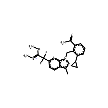 Cc1nn(Cc2c(C(N)=O)cccc2C2CC2)c2nc(C(F)(F)/C(=N/N)NN)ccc12